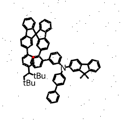 CC(C)(C)CC(c1ccc(-c2ccc3c(c2)C2(c4ccccc4-3)c3ccccc3-c3ccc(-c4ccccc4-c4cccc(N(c5ccc(-c6ccccc6)cc5)c5ccc6c(c5)C(C)(C)c5ccccc5-6)c4)cc32)cc1)C(C)(C)C